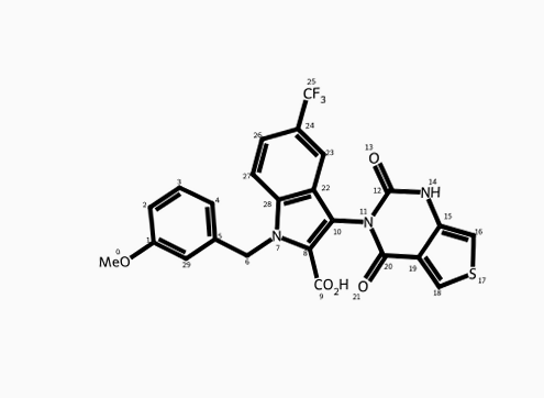 COc1cccc(Cn2c(C(=O)O)c(-n3c(=O)[nH]c4cscc4c3=O)c3cc(C(F)(F)F)ccc32)c1